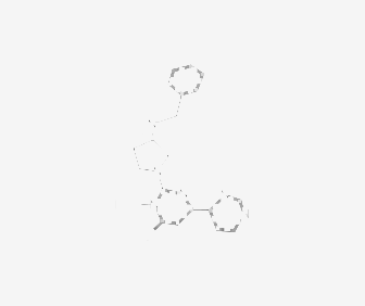 Cn1c(N2CC[C@H](NCc3ccccc3)C2)nc(-c2ccncn2)cc1=O